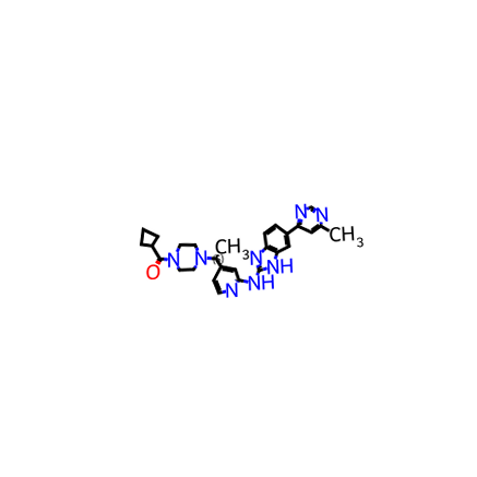 Cc1cc(-c2ccc3nc(Nc4cc([C@H](C)N5CCN(C(=O)C6CCC6)CC5)ccn4)[nH]c3c2)ncn1